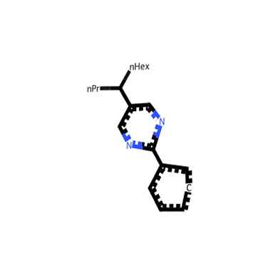 CCCCCCC(CCC)c1cnc(-c2cc[c]cc2)nc1